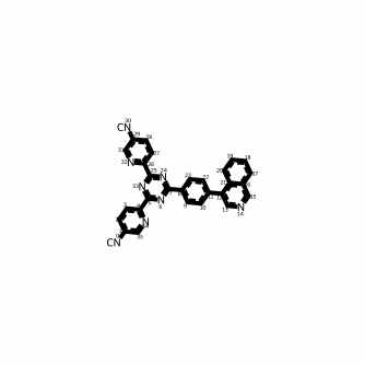 [C-]#[N+]c1ccc(-c2nc(-c3ccc(-c4cncc5ccccc45)cc3)nc(-c3ccc([N+]#[C-])cn3)n2)nc1